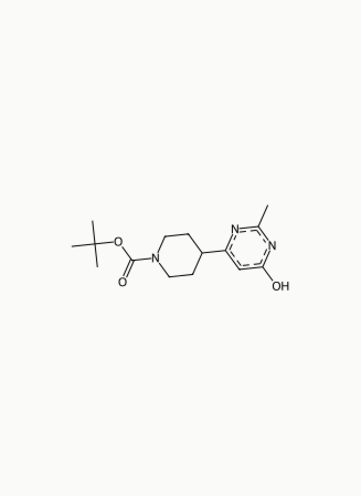 Cc1nc(O)cc(C2CCN(C(=O)OC(C)(C)C)CC2)n1